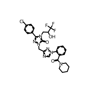 O=C(c1ccccc1-n1cnc(Cn2nc(-c3ccc(Cl)cc3)n(CC(O)C(F)(F)F)c2=O)n1)N1CCCCC1